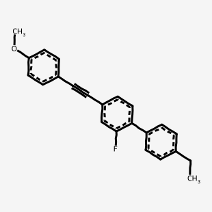 CCc1ccc(-c2ccc(C#Cc3ccc(OC)cc3)cc2F)cc1